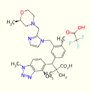 Cc1ccc(C(c2ccc3c(nnn3C)c2C)C(C)(C)C(=O)O)cc1Cn1ccnc1CN1CCO[C@H](C)C1.O=C(O)C(F)(F)F